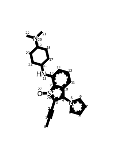 CC#Cc1c(-n2cccc2)c2cccc(NC3CCC(N(C)C)CC3)c2[s+]1[O-]